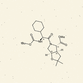 COC(=O)[C@@H]1[C@H]2CC(C)(C)O[C@H]2CN1C(=O)[C@@H](NC(=O)OC(C)(C)C)C1CCCCC1